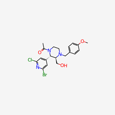 COc1ccc(CN2CCN(C(C)=O)[C@@H](c3cc(Cl)nc(Br)c3)[C@@H]2CO)cc1